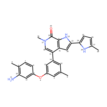 Cc1cc(Oc2ccc(C)c(N)c2)cc(-c2cn(C)c(=O)c3[nH]c(-c4ccc(C)[nH]4)cc23)c1